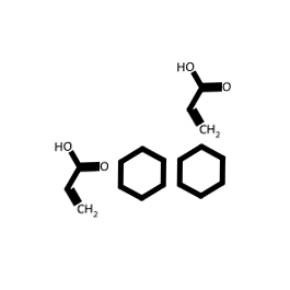 C1CCCCC1.C1CCCCC1.C=CC(=O)O.C=CC(=O)O